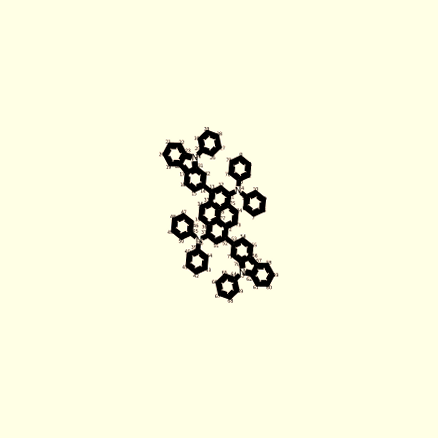 c1ccc(N(c2ccccc2)c2cc(-c3ccc4c5ccccc5n(-c5ccccc5)c4c3)c3ccc4c(N(c5ccccc5)c5ccccc5)cc(-c5ccc6c7ccccc7n(-c7ccccc7)c6c5)c5ccc2c3c54)cc1